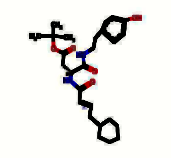 CC(C)(C)OC(=O)C[C@@H](NC(=O)/C=C/CC1CCCCC1)C(=O)NCCc1ccc(O)cc1